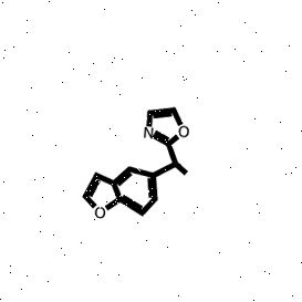 C[C](c1ccc2occc2c1)c1ncco1